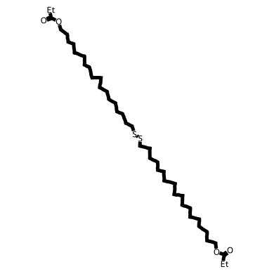 CCC(=O)OCCCCCCCCCCCCCCCCCCSSCCCCCCCCCCCCCCCCCCOC(=O)CC